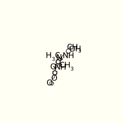 Cc1c(NC(=O)c2ccc(OC[C@@H]3CCCO3)cc2)ccc2c1cc(CN[C@H]1CC[C@@](C)(O)CC1)n2C